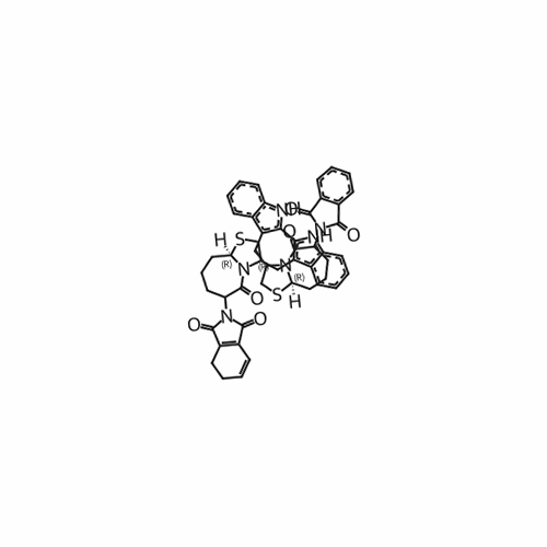 O=C1C2=C(CCC=C2)C(=O)N1C1CCC[C@H]2SCC(Cc3c(-c4[nH]c5ccccc5c4C[C@@H]4CS[C@@H]5CCCC(N6C(=O)c7ccccc7C6=O)C(=O)N45)[nH]c4ccccc34)N2C1=O